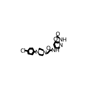 O=C(CN1CCN(c2ccc(Cl)cc2)CC1)Nc1cnc2[nH]c(=O)oc2c1